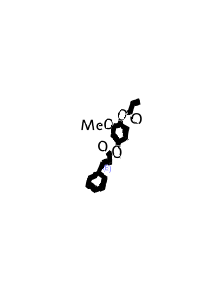 C=CC(=O)Oc1ccc(OC(=O)/C=C/c2ccccc2)cc1OC